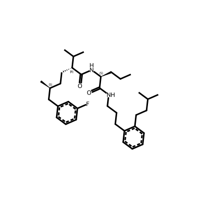 CCC[C@H](NC(=O)[C@H](CC[C@H](C)Cc1cccc(F)c1)C(C)C)C(=O)NCCCc1ccccc1CCC(C)C